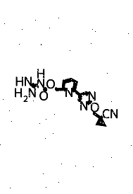 N#CC1(COc2ncc(-c3cccc(COC(=O)NC(=N)N)n3)cn2)CC1